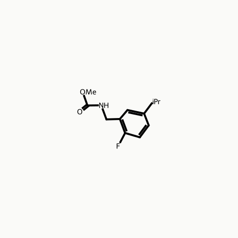 COC(=O)NCc1cc(C(C)C)ccc1F